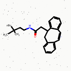 CCCCC(C)(C)CCNC(=O)CC1Cc2ccccc2/C=C\c2ccccc21